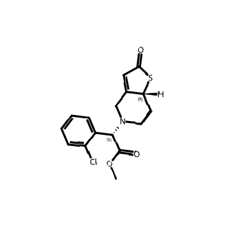 COC(=O)[C@H](c1ccccc1Cl)N1CC[C@H]2SC(=O)C=C2C1